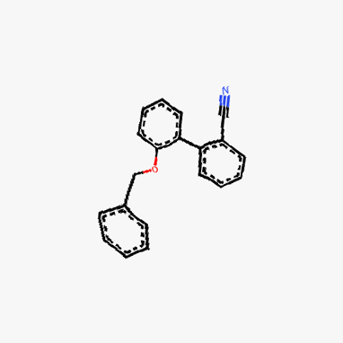 N#Cc1ccccc1-c1ccccc1OCc1ccccc1